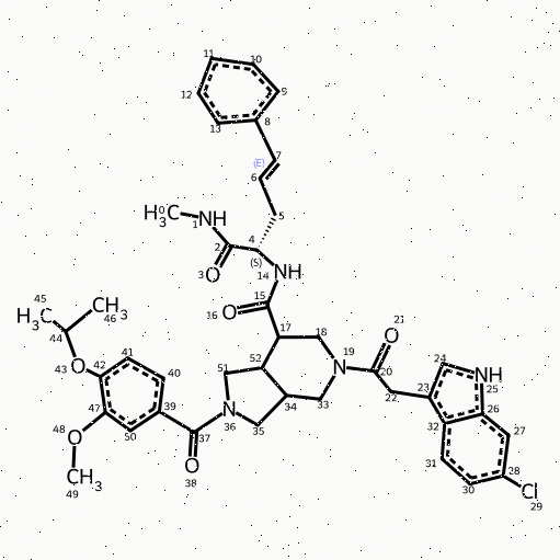 CNC(=O)[C@H](C/C=C/c1ccccc1)NC(=O)C1CN(C(=O)Cc2c[nH]c3cc(Cl)ccc23)CC2CN(C(=O)c3ccc(OC(C)C)c(OC)c3)CC21